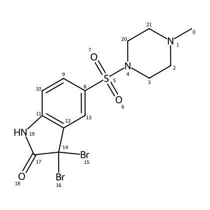 CN1CCN(S(=O)(=O)c2ccc3c(c2)C(Br)(Br)C(=O)N3)CC1